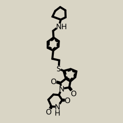 O=C1CCC(N2C(=O)c3cccc(SCCc4ccc(CNC5CCCCC5)cc4)c3C2=O)C(=O)N1